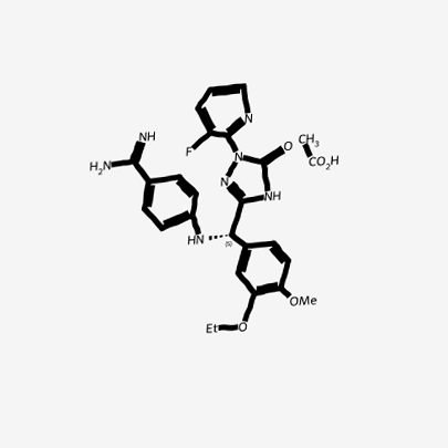 CC(=O)O.CCOc1cc([C@H](Nc2ccc(C(=N)N)cc2)c2nn(-c3ncccc3F)c(=O)[nH]2)ccc1OC